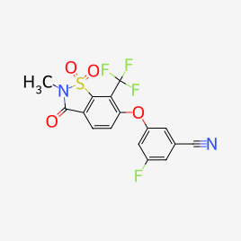 CN1C(=O)c2ccc(Oc3cc(F)cc(C#N)c3)c(C(F)(F)F)c2S1(=O)=O